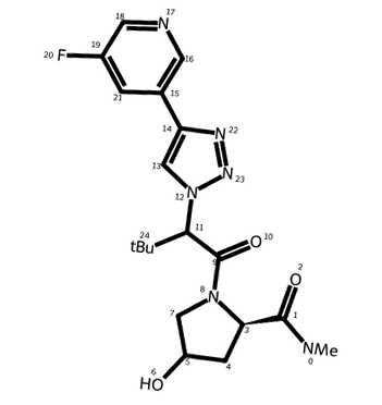 CNC(=O)[C@H]1CC(O)CN1C(=O)C(n1cc(-c2cncc(F)c2)nn1)C(C)(C)C